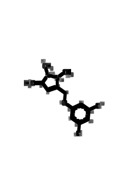 C=C1C=C(COc2cc(Cl)cc(Cl)c2)N(C)N1C